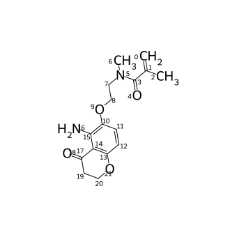 C=C(C)C(=O)N(C)CCOc1ccc2c(c1N)C(=O)CCO2